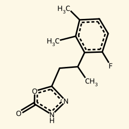 Cc1ccc(F)c(C(C)Cc2n[nH]c(=O)o2)c1C